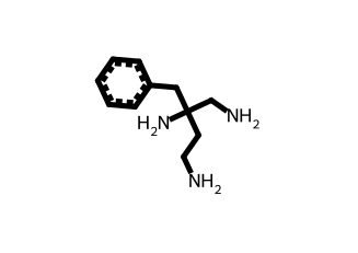 NCCC(N)(CN)Cc1ccccc1